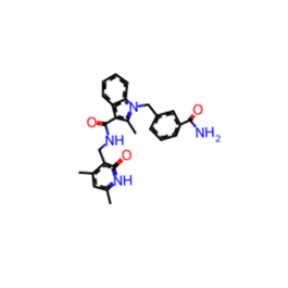 Cc1cc(C)c(CNC(=O)c2c(C)n(Cc3cccc(C(N)=O)c3)c3ccccc23)c(=O)[nH]1